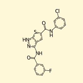 O=C(Nc1n[nH]c2sc(C(=O)Nc3cccc(Cl)c3)cc12)c1cccc(F)c1